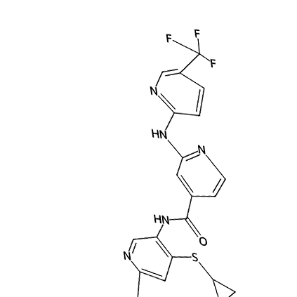 O=C(Nc1cnc(Cl)cc1SC1CC1)c1ccnc(Nc2ccc(C(F)(F)F)cn2)c1